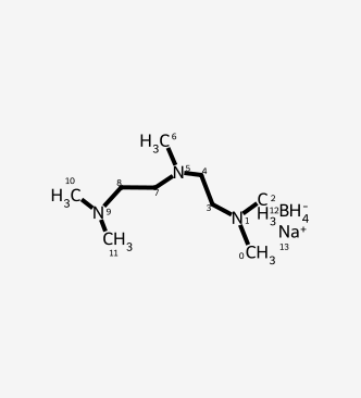 CN(C)CCN(C)CCN(C)C.[BH4-].[Na+]